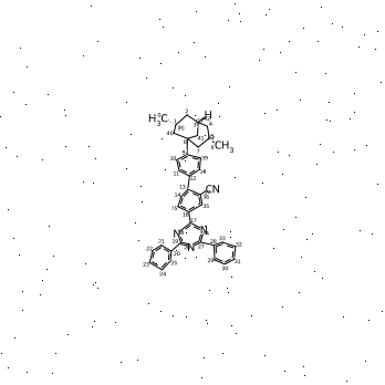 C[C@@H]1C[C@@H]2C[C@H](C)CC(c3ccc(-c4ccc(-c5nc(-c6ccccc6)nc(-c6ccccc6)n5)cc4C#N)cc3)(C1)C2